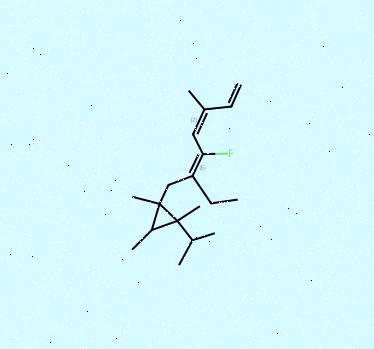 C=C/C(C)=C\C(F)=C(\CC)CC1(C)C(C)C1(C)C(C)C